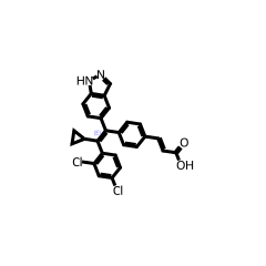 O=C(O)C=Cc1ccc(/C(=C(\c2ccc(Cl)cc2Cl)C2CC2)c2ccc3[nH]ncc3c2)cc1